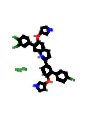 Cl.Cl.Fc1ccc(-c2cc(-c3ccc4cc(OC5CCNC5)c(-c5ccc(F)c(F)c5)cc4n3)ccc2OC2CCNC2)cc1